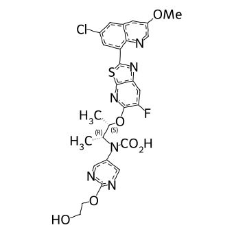 COc1cnc2c(-c3nc4cc(F)c(O[C@@H](C)[C@@H](C)N(C(=O)O)c5cnc(OCCO)nc5)nc4s3)cc(Cl)cc2c1